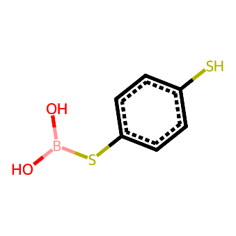 OB(O)Sc1ccc(S)cc1